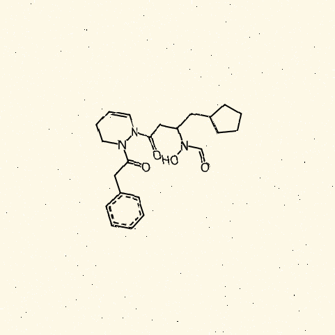 O=CN(O)C(CC(=O)N1C=CCCN1C(=O)Cc1ccccc1)CC1CCCC1